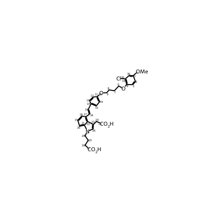 COc1ccc(OCCCCOc2ccc(C=Cc3cccc4c3c(CC(=O)O)cn4CCCC(=O)O)cc2)c(Cl)c1